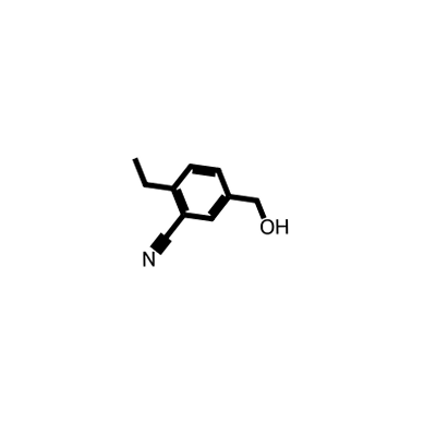 CCc1ccc(CO)cc1C#N